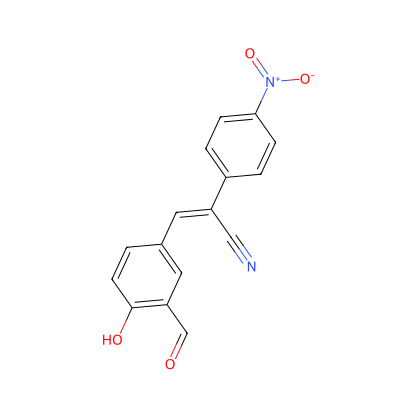 N#CC(=Cc1ccc(O)c(C=O)c1)c1ccc([N+](=O)[O-])cc1